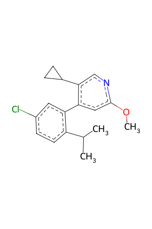 COc1cc(-c2cc(Cl)ccc2C(C)C)c(C2CC2)cn1